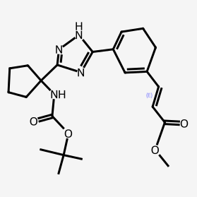 COC(=O)/C=C/C1=CC(c2nc(C3(NC(=O)OC(C)(C)C)CCCC3)n[nH]2)=CCC1